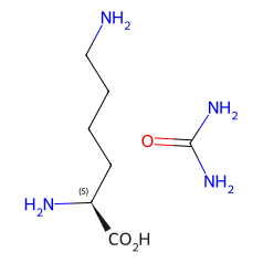 NC(N)=O.NCCCC[C@H](N)C(=O)O